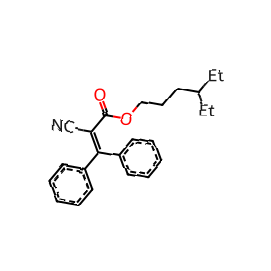 CCC(CC)CCCOC(=O)C(C#N)=C(c1ccccc1)c1ccccc1